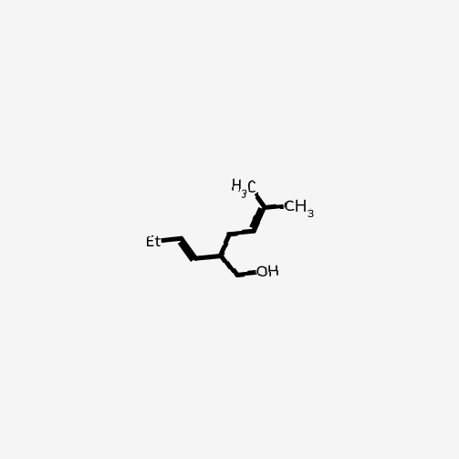 CCC=CC(CO)CC=C(C)C